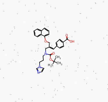 CC(C)(C)OC(=O)N(CCCn1ccnc1)C/C(=C/c1ccc(C(=O)O)cc1)COc1cccc2ccccc12